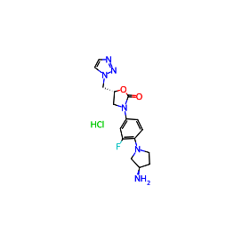 Cl.N[C@@H]1CCN(c2ccc(N3C[C@H](Cn4ccnn4)OC3=O)cc2F)C1